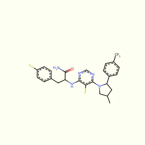 CC1CC(c2ccc(C(F)(F)F)cc2)N(c2ncnc(NC(Cc3ccc(F)cc3)C(N)=O)c2F)C1